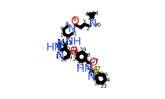 CN(CC=CC(=O)N1CCC[C@@H](Nc2n[nH]c3nccc(Oc4ccc(C(=O)Nc5nc6ccccc6s5)cc4)c23)C1)C1CC1